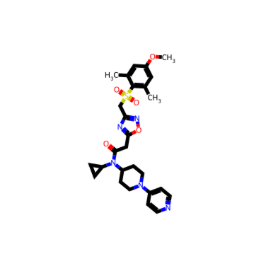 COc1cc(C)c(S(=O)(=O)Cc2noc(CC(=O)N(C3CC3)C3CCN(c4ccncc4)CC3)n2)c(C)c1